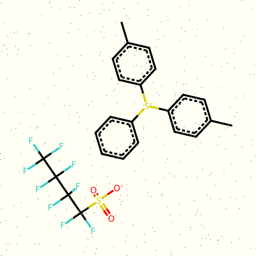 Cc1ccc([S+](c2ccccc2)c2ccc(C)cc2)cc1.O=S(=O)([O-])C(F)(F)C(F)(F)C(F)(F)C(F)(F)F